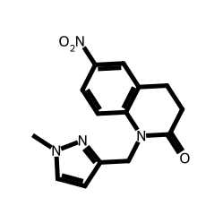 Cn1ccc(CN2C(=O)CCc3cc([N+](=O)[O-])ccc32)n1